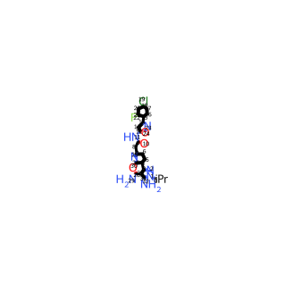 CC(C)n1nc(-c2ccc(CC(=O)Nc3cc(-c4ccc(Cl)cc4F)no3)nc2)c(C(N)=O)c1N